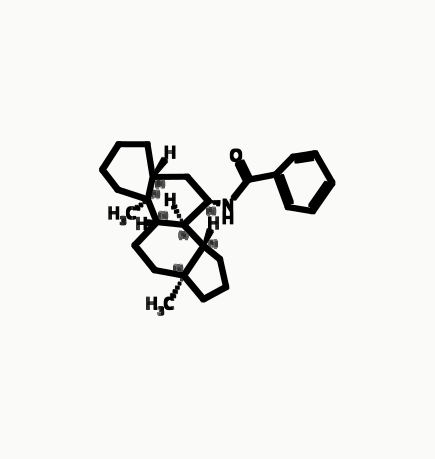 C[C@@]12CCC[C@H]1[C@@H]1[C@@H](NC(=O)c3ccccc3)C[C@H]3CCCC[C@]3(C)[C@H]1CC2